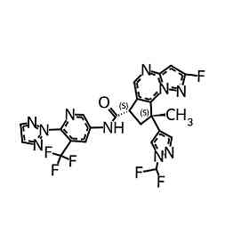 C[C@@]1(c2cnn(C(F)F)c2)C[C@H](C(=O)Nc2cnc(-n3nccn3)c(C(F)(F)F)c2)c2cnc3cc(F)nn3c21